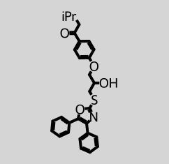 CC(C)CC(=O)c1ccc(OCC(O)CSc2nc(-c3ccccc3)c(-c3ccccc3)o2)cc1